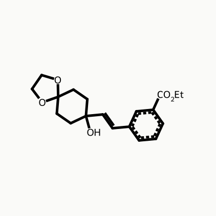 CCOC(=O)c1cccc(/C=C/C2(O)CCC3(CC2)OCCO3)c1